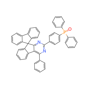 O=P(c1ccccc1)(c1ccccc1)c1ccc(-c2nc(-c3ccccc3)c3c(n2)C2(c4ccccc4-c4ccccc42)c2ccccc2-3)cc1